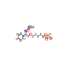 CC(C)(C)ON=C(COCCCCCOS(C)(=O)=O)c1ccccc1